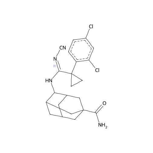 N#C/N=C(/NC1C2CC3CC1CC(C(N)=O)(C3)C2)C1(c2ccc(Cl)cc2Cl)CC1